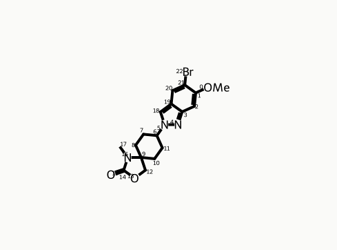 COc1cc2nn(C3CCC4(CC3)COC(=O)N4C)cc2cc1Br